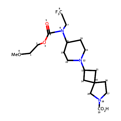 COCCOC(=O)N(CC(F)(F)F)C1CCN(C2CC3(CCN(C(=O)O)C3)C2)CC1